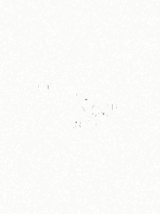 CCCCCOc1ccc([N+]2(S(=O)(=O)CC)C=C(CN)C=CC2)cc1